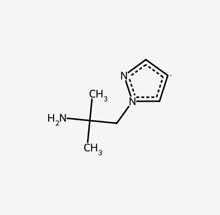 CC(C)(N)Cn1c[c]cn1